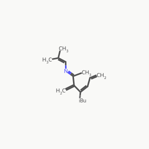 C=C/C=C(\C(=C)/C(C)=N/C=C(C)C)C(C)CC